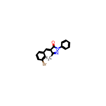 CC1=NN(c2ccccc2)C(=O)/C1=C/c1cccc(Br)c1